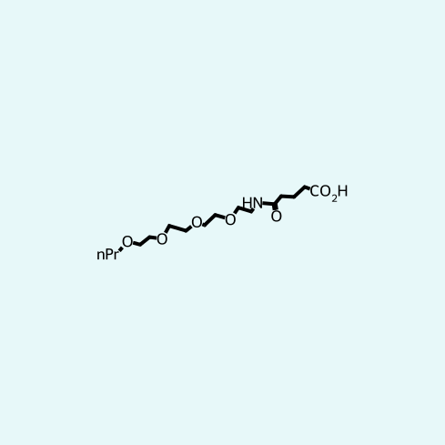 CCCOCCOCCOCCOCCNC(=O)CCCC(=O)O